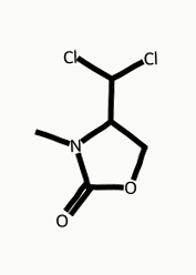 CN1C(=O)OCC1C(Cl)Cl